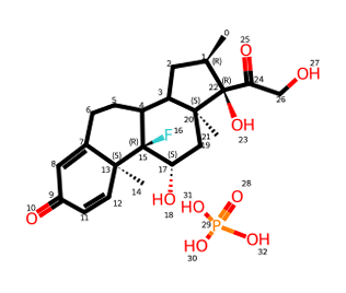 C[C@@H]1CC2C3CCC4=CC(=O)C=C[C@]4(C)[C@@]3(F)[C@@H](O)C[C@]2(C)[C@@]1(O)C(=O)CO.O=P(O)(O)O